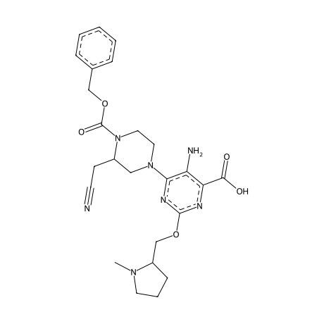 CN1CCCC1COc1nc(C(=O)O)c(N)c(N2CCN(C(=O)OCc3ccccc3)C(CC#N)C2)n1